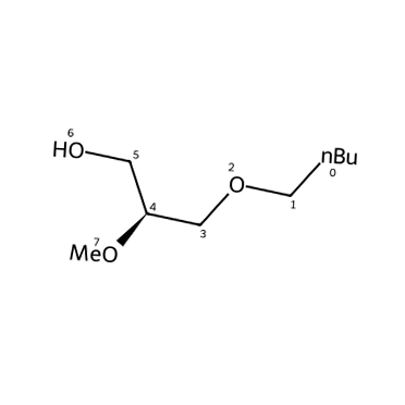 CCCCCOC[C@H](CO)OC